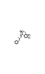 C/C=C1\C2C=C(C)CC1(/N=C/C(C)=C/c1ccccc1)c1ccc(=O)[nH]c1C2